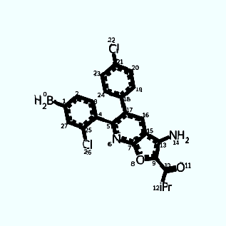 Bc1ccc(-c2nc3oc(C(=O)C(C)C)c(N)c3cc2-c2ccc(Cl)cc2)c(Cl)c1